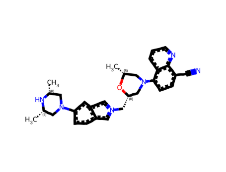 C[C@@H]1CN(c2ccc3cn(C[C@H]4CN(c5ccc(C#N)c6ncccc56)C[C@@H](C)O4)cc3c2)C[C@H](C)N1